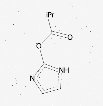 CC(C)C(=O)Oc1ncc[nH]1